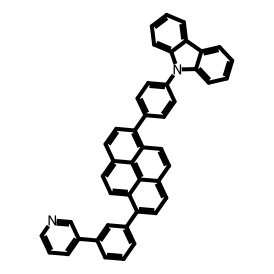 c1cncc(-c2cccc(-c3ccc4ccc5c(-c6ccc(-n7c8ccccc8c8ccccc87)cc6)ccc6ccc3c4c65)c2)c1